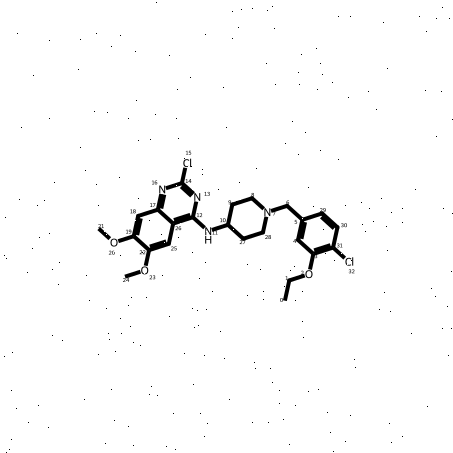 CCOc1cc(CN2CCC(Nc3nc(Cl)nc4cc(OC)c(OC)cc34)CC2)ccc1Cl